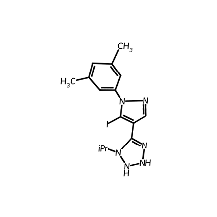 Cc1cc(C)cc(-n2ncc(C3=NNNN3C(C)C)c2I)c1